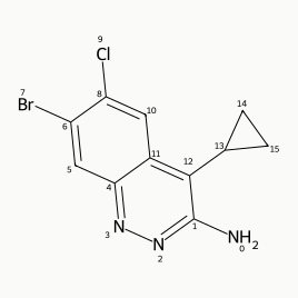 Nc1nnc2cc(Br)c(Cl)cc2c1C1CC1